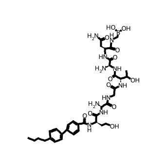 CCCCc1ccc(-c2ccc(C(=O)N[C@H](CCO)C(=O)N[C@H](N)C(=O)NCC(=O)N[C@H](C(=O)N[C@@H](N)C(=O)N[C@@H](CC(N)=O)C(=O)NCB(O)O)C(C)O)cc2)cc1